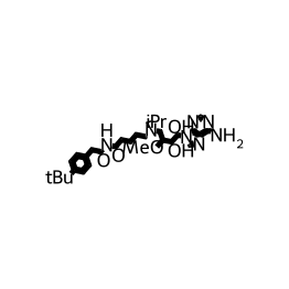 COC(CN(CCCCC(=O)NC(=O)Cc1ccc(C(C)(C)C)cc1)C(C)C)[C@@H](O)[C@H](O)n1cnc2c(N)ncnc21